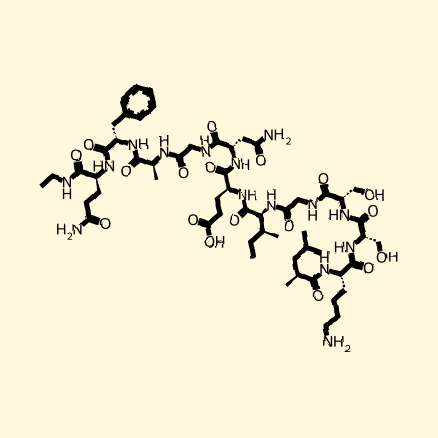 CCNC(=O)[C@H](CCC(N)=O)NC(=O)[C@H](Cc1ccccc1)NC(=O)[C@H](C)NC(=O)CNC(=O)[C@H](CC(N)=O)NC(=O)[C@H](CCC(=O)O)NC(=O)[C@@H](NC(=O)CNC(=O)[C@H](CO)NC(=O)[C@H](CO)NC(=O)[C@H](CCCCN)NC(=O)[C@@H](C)CC(C)C)[C@@H](C)CC